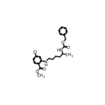 COC(=O)c1ccc(Cl)cc1NCCCCC(C)NC(=O)OCc1ccccc1